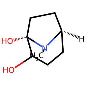 CN1[C@@H]2CCC(O)[C@@]1(O)CC2